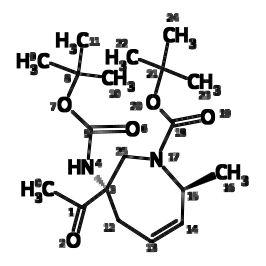 CC(=O)[C@]1(NC(=O)OC(C)(C)C)CC=C[C@H](C)N(C(=O)OC(C)(C)C)C1